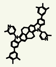 CC1=NC=CC(n2c3ccc(-c4cc(C)c(C)c(C)c4)cc3c3cc4c5c(c32)CCc2cc3c6cc(-c7cc(C)c(C)c(C)c7)ccc6n(-c6ccnc(C)c6)c3c(c2-5)CC4)C1